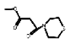 COC(=O)CC(=O)N1CCSCC1